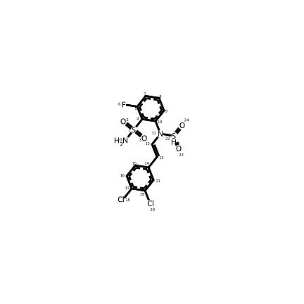 NS(=O)(=O)c1c(F)cccc1N(C=Cc1ccc(Cl)c(Cl)c1)[SH](=O)=O